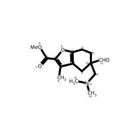 COC(=O)c1oc2c(c1C)CC(C=O)(CN(C)C)CC2